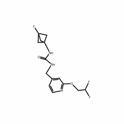 O=C(NCc1ccnc(OCC(F)F)c1)NC12CC(F)(C1)C2